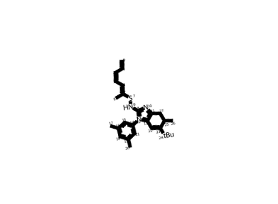 C=C/C=C\C=C(/C)SNc1nc2c(n1-c1cc(C)cc(C)c1)C=C(C(C)(C)C)C(C)C2